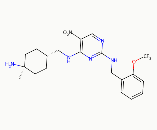 C[C@]1(N)CC[C@H](CNc2nc(NCc3ccccc3OC(F)(F)F)ncc2[N+](=O)[O-])CC1